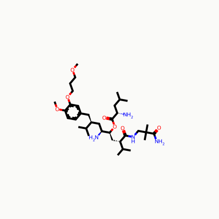 COCCCOc1cc(C[C@@H](C[C@H](N)[C@H](C[C@H](C(=O)NCC(C)(C)C(N)=O)C(C)C)OC(=O)[C@@H](N)CC(C)C)C(C)C)ccc1OC